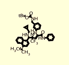 CN(C)c1ccc(C(NCC2CC2)C2(C(F)(F)F)C=C(C(=O)Nc3ccccc3)N(c3cccc(CNC(=O)OC(C)(C)C)c3)N2)c2ccccc12